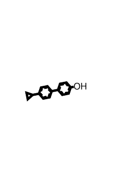 Oc1ccc(-c2ccc(C3CC3)cc2)cc1